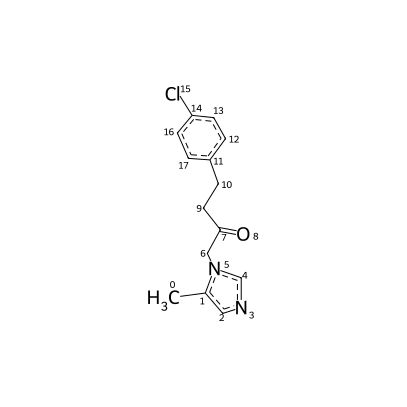 Cc1cncn1CC(=O)CCc1ccc(Cl)cc1